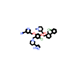 CC1C(c2ccccc2Cl)=CC=CC1(COc1cc(OCc2cncc(C#N)c2)c(CN2CCCC(c3ccn[nH]3)C2)cc1Cl)OCC1CCCN(C)C1